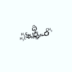 Cc1cccc(/C=N/n2cnc3c(Nc4cc(C)n(C)n4)nc(N4CCOCC4)nc32)c1